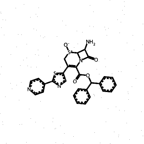 NC1C(=O)N2C(C(=O)OC(c3ccccc3)c3ccccc3)=C(c3cnc(-c4ccncc4)s3)C[S+]([O-])C12